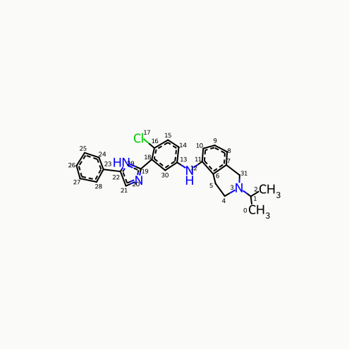 CC(C)N1CCc2c(cccc2Nc2ccc(Cl)c(-c3ncc(-c4ccccc4)[nH]3)c2)C1